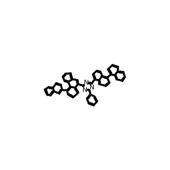 c1ccc(-c2nc(-c3cccc4c(-c5cccc6ccccc56)cccc34)nc(-c3cc4ccccc4c4c(-c5ccc6ccccc6c5)cccc34)n2)cc1